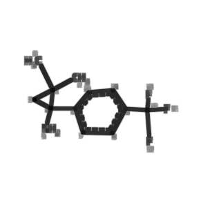 CC1(C)CC1(N)c1ccc(C(F)(F)F)cc1